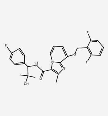 Cc1nc2c(OCc3c(F)cccc3F)cccn2c1C(=O)NC(c1ccc(F)cc1)C(C)(C)O